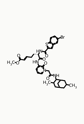 COC(=O)/C=C/CC[C@H](NC(=O)c1cc2cc(Br)ccc2s1)C(=O)Nc1cccn(CC(=O)NC2C(C)CC3CC(C)CC2C3)c1=O